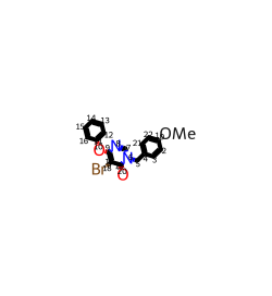 COc1ccc(Cn2cnc(Oc3ccccc3)c(Br)c2=O)cc1